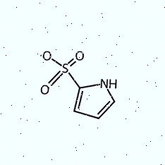 [O]S(=O)(=O)c1ccc[nH]1